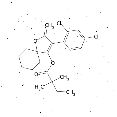 C=C1OC2(CCCCC2)C(OC(=O)C(C)(C)CC)=C1c1ccc(Cl)cc1Cl